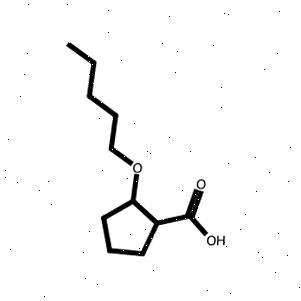 CCCCCOC1CCCC1C(=O)O